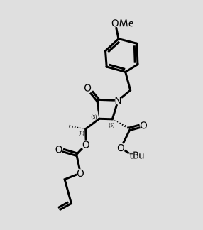 C=CCOC(=O)O[C@H](C)[C@H]1C(=O)N(Cc2ccc(OC)cc2)[C@@H]1C(=O)OC(C)(C)C